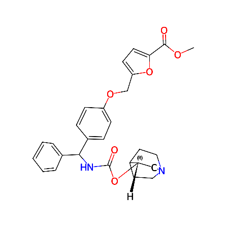 COC(=O)c1ccc(COc2ccc(C(NC(=O)O[C@H]3CN4CCC3CC4)c3ccccc3)cc2)o1